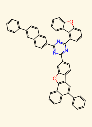 c1ccc(-c2ccc3cc(-c4nc(-c5ccc6c(c5)oc5c7ccccc7c(-c7ccccc7)cc65)nc(-c5cccc6oc7ccccc7c56)n4)ccc3c2)cc1